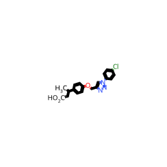 CC(CC(=O)O)c1ccc(OCc2cn(-c3ccc(Cl)cc3)nn2)cc1